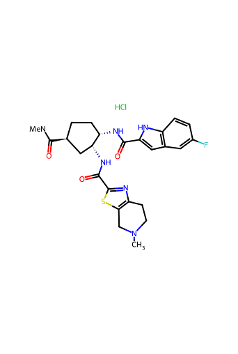 CNC(=O)[C@H]1CC[C@H](NC(=O)c2cc3cc(F)ccc3[nH]2)[C@H](NC(=O)c2nc3c(s2)CN(C)CC3)C1.Cl